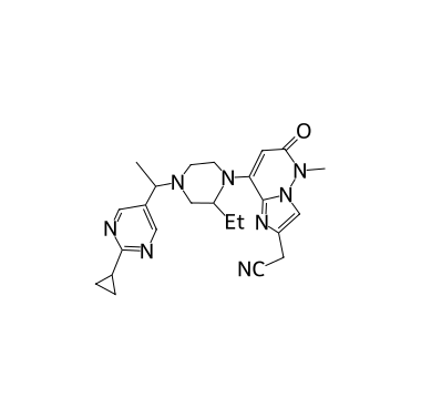 CCC1CN(C(C)c2cnc(C3CC3)nc2)CCN1c1cc(=O)n(C)n2cc(CC#N)nc12